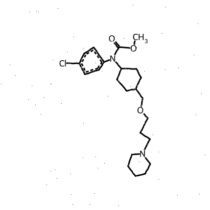 COC(=O)N(c1ccc(Cl)cc1)C1CCC(COCCCN2CCCCC2)CC1